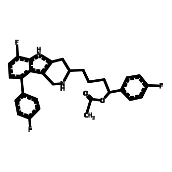 CC(=O)OC(CCCC1Cc2[nH]c3c(F)ccc(-c4ccc(F)cc4)c3c2CN1)c1ccc(F)cc1